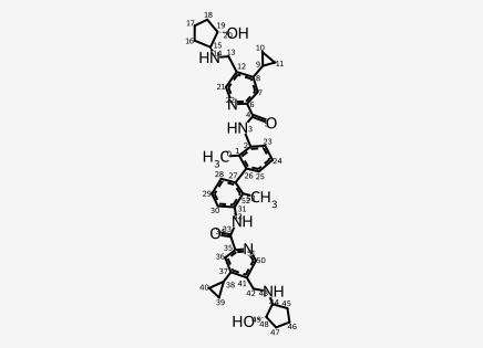 Cc1c(NC(=O)c2cc(C3CC3)c(CN[C@H]3CCC[C@@H]3O)cn2)cccc1-c1cccc(NC(=O)c2cc(C3CC3)c(CN[C@H]3CCC[C@@H]3O)cn2)c1C